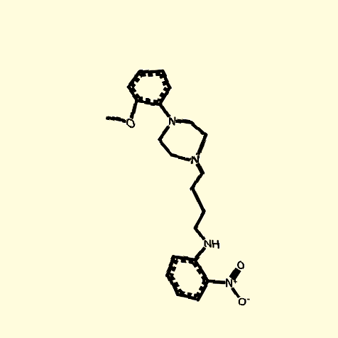 COc1ccccc1N1CCN(CCCCNc2ccccc2[N+](=O)[O-])CC1